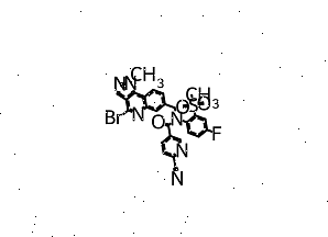 Cn1ncc2c(Br)nc3cc(CN(C(=O)c4ccc(C#N)nc4)c4ccc(F)cc4S(C)(=O)=O)ccc3c21